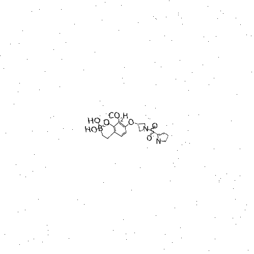 O=C(O)c1c(OC2CN(S(=O)(=O)C3=CCC=N3)C2)ccc2c1O[B-](O)(O)CC2